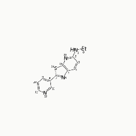 CCNc1ccc2nc(-c3cccnc3)sc2n1